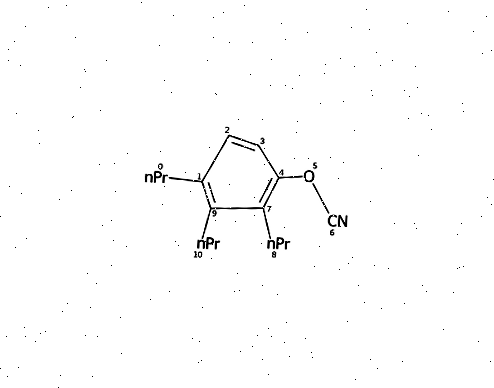 CCCc1ccc(OC#N)c(CCC)c1CCC